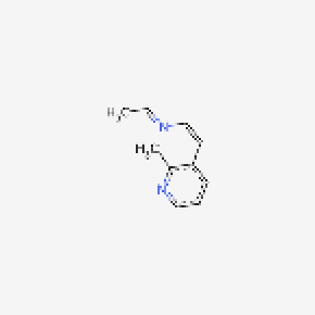 C/C=N/C=C\c1cccnc1C